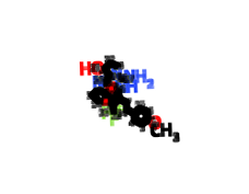 COc1ccc(CCc2ccc(C3=C\CCCO/C([C@@H]4[C@@H](O)CCN4C(=N)N)=N\3)cc2C(F)(F)F)cc1